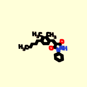 CCCCCc1ccc(C=C2C(=O)NN(c3ccccc3)C2=O)c(C)c1C